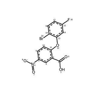 O=C(O)c1cc([N+](=O)[O-])ccc1Oc1cc(F)ccc1Br